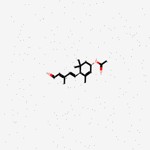 CC(=O)O[C@@H]1C=C(C)[C@@H](/C=C/C(C)=C/C=O)C(C)(C)C1